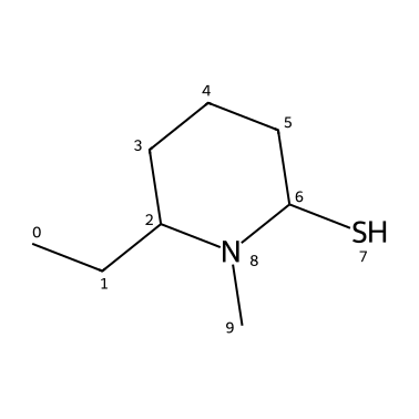 CCC1CCCC(S)N1C